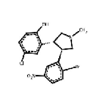 CN1C[C@@H](c2cc(Cl)ccc2O)[C@H](c2cc([N+](=O)[O-])ccc2Br)C1